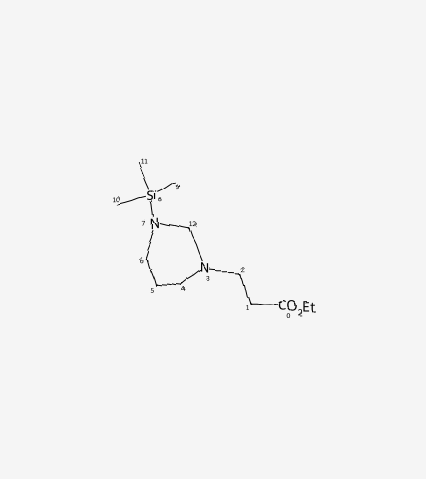 CCOC(=O)CCN1CCCN([Si](C)(C)C)C1